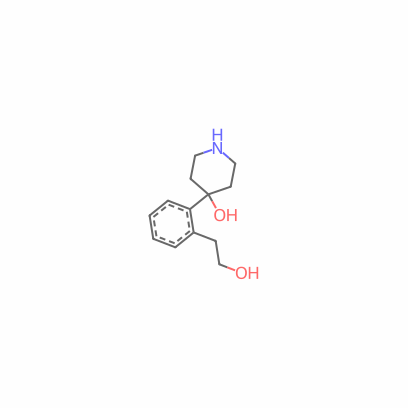 OCCc1ccccc1C1(O)CCNCC1